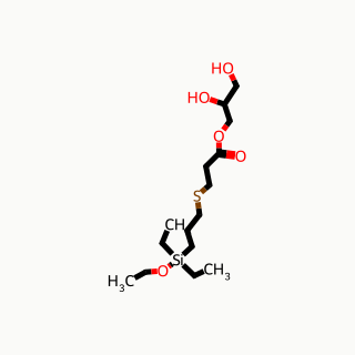 CCO[Si](CC)(CC)CCCSCCC(=O)OCC(O)CO